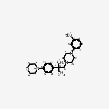 CC(C)(C)c1cccc(N2CCN(CC(C)(C)c3ccc(N4CCOCC4)cc3)CC2)c1